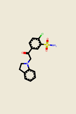 NS(=O)(=O)c1cc(C(=O)CN2CCc3ccccc32)ccc1Cl